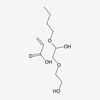 C=CC(=O)O.CCCCOC(O)COCCO